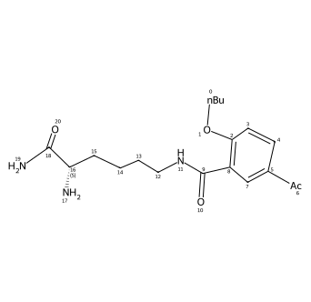 CCCCOc1ccc(C(C)=O)cc1C(=O)NCCCC[C@H](N)C(N)=O